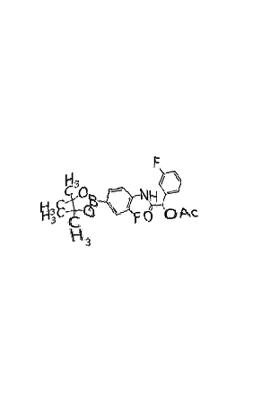 CC(=O)OC(C(=O)Nc1ccc(B2OC(C)(C)C(C)(C)O2)cc1F)c1cccc(F)c1